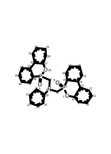 O=P1(CN(CP2(=O)Oc3ccccc3-c3ccccc32)c2ccccc2)Oc2ccccc2-c2ccccc21